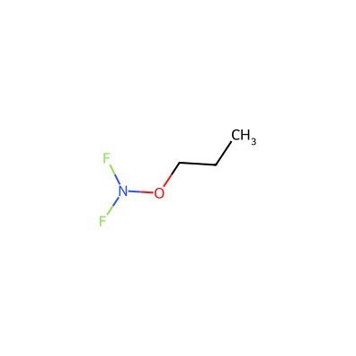 CCCON(F)F